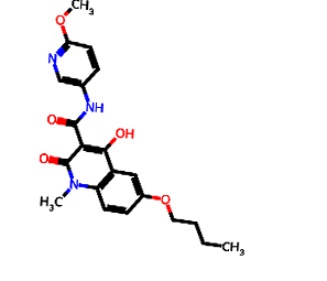 CCCCOc1ccc2c(c1)c(O)c(C(=O)Nc1ccc(OC)nc1)c(=O)n2C